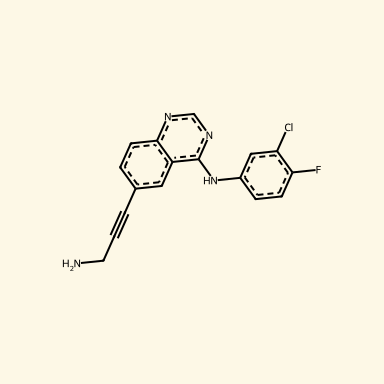 NCC#Cc1ccc2ncnc(Nc3ccc(F)c(Cl)c3)c2c1